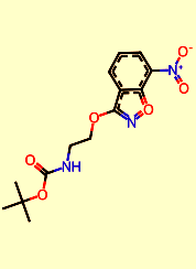 CC(C)(C)OC(=O)NCCOc1noc2c([N+](=O)[O-])cccc12